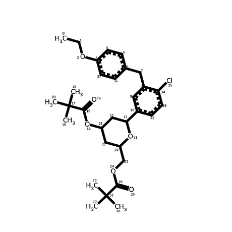 CCOc1ccc(Cc2cc(C3CC(OC(=O)C(C)(C)C)CC(COC(=O)C(C)(C)C)O3)ccc2Cl)cc1